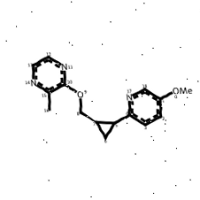 COc1ccc(C2C[C@H]2COc2nccnc2C)nc1